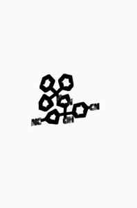 N#Cc1ccc(C(O)(c2ccc(C#N)cc2)c2cn(C(c3ccccc3)(c3ccccc3)c3ccccc3)cn2)cc1